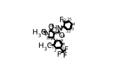 Cc1cc(C(F)(F)F)ccc1[C@@H]1CN(C)C(=O)[C@H]1C(=O)Nc1ccccc1F